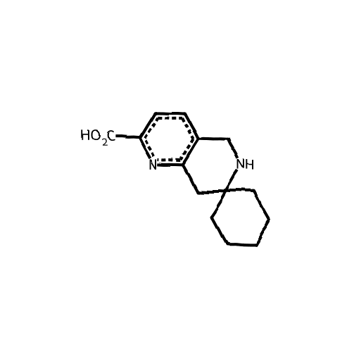 O=C(O)c1ccc2c(n1)CC1(CCCCC1)NC2